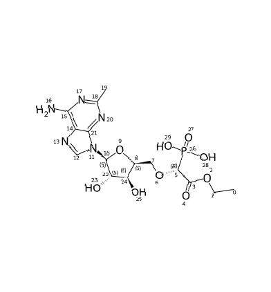 CCOC(=O)[C@H](OC[C@@H]1O[C@H](n2cnc3c(N)nc(C)nc32)[C@@H](O)[C@@H]1O)P(=O)(O)O